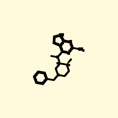 C[C@@H]1CCN(Cc2ccccc2)C[C@@H]1N(C)c1nc(N)nc2[nH]ccc12